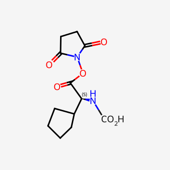 O=C(O)N[C@H](C(=O)ON1C(=O)CCC1=O)C1CCCC1